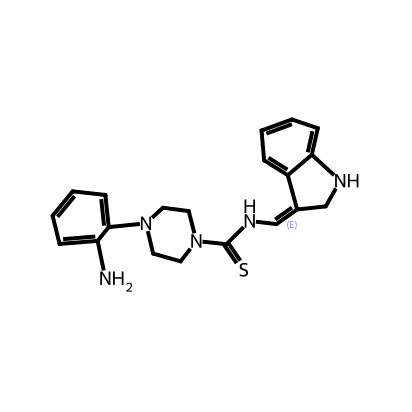 Nc1ccccc1N1CCN(C(=S)N/C=C2/CNc3ccccc32)CC1